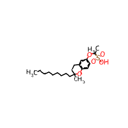 CCCCCCCCCC1(C)CCc2cc(OC(C)S(=O)(=O)O)ccc2O1